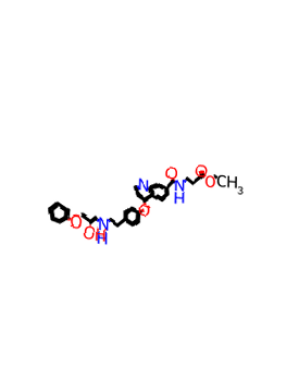 CCOC(=O)CCNC(=O)c1ccc2c(Oc3ccc(CCNC[C@H](O)COc4ccccc4)cc3)ccnc2c1